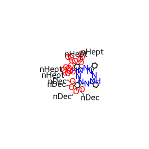 CCCCCCCCCCCCOc1c(OCCCCCCCCCCCC)c(OCCCCCCCCCCCC)c2c(c1OCCCCCCCCCCCC)-c1nc-2nc2[nH]c(nc3nc(nc4[nH]c(n1)c1ccccc41)-c1ccccc1-3)c1c(OOOOCCCCCCC)c(OOOOCCCCCCC)c(OOOOCCCCCCC)c(OOOOCCCCCCC)c21